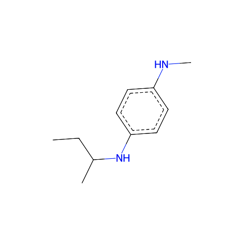 CCC(C)Nc1ccc(NC)cc1